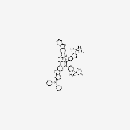 CC(C)(C)c1ccc(Nc2cc3c(cc2-c2ccc4c5cc6c(cc5n5c4c2Bc2sc4ccc(C(C)(C)C)cc4c2-5)oc2ccccc26)oc2cc(N(c4ccccc4)c4ccccc4)ccc23)cc1